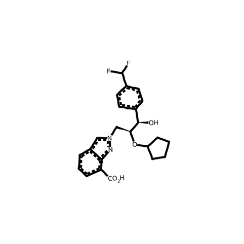 O=C(O)c1cccc2cn(C[C@H](OC3CCCC3)[C@H](O)c3ccc(C(F)F)cc3)nc12